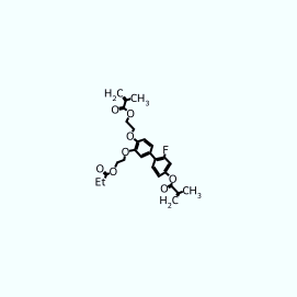 C=C(C)C(=O)OCCOc1ccc(-c2ccc(OC(=O)C(=C)C)cc2F)cc1OCCOC(=O)CC